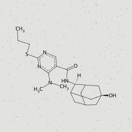 CCCSc1ncc(C(=O)N[C@H]2C3CC4CC2C[C@@](O)(C4)C3)c(N(C)C)n1